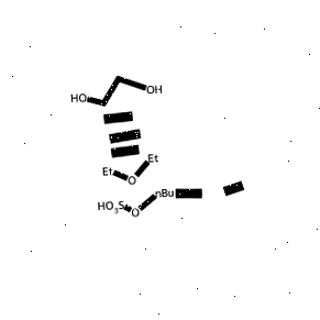 C=C.C=C.C=C.C=C.C=C.CCCCOS(=O)(=O)O.CCOCC.OCCO